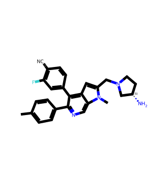 Cc1ccc(-c2ncc3c(cc(CN4CC[C@H](N)C4)n3C)c2-c2ccc(C#N)c(F)c2)cc1